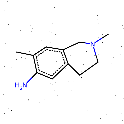 Cc1cc2c(cc1N)CCN(C)C2